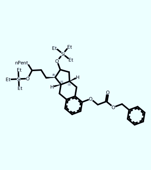 CCCCCC(CC[C@H]1C(O[Si](CC)(CC)CC)C[C@@H]2Cc3c(cccc3OCC(=O)OCc3ccccc3)C[C@@H]21)O[Si](CC)(CC)CC